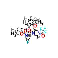 CC(C)(C)OC(=O)N1C[C@H](F)C[C@H]1C(=O)N1CC2(CC2)N(C(=O)C(F)(F)F)C[C@@H]1CO[Si](C)(C)C(C)(C)C